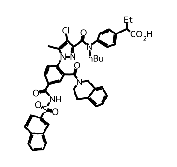 CCCCN(C(=O)c1nn(-c2ccc(C(=O)NS(=O)(=O)c3ccc4ccccc4c3)cc2C(=O)N2CCc3ccccc3C2)c(C)c1Cl)c1ccc(C(CC)C(=O)O)cc1